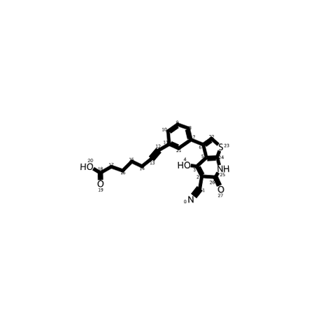 N#Cc1c(O)c2c(-c3cccc(C#CCCCCC(=O)O)c3)csc2[nH]c1=O